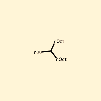 CCCCCCCCC(CCCC)CCCCCCCC